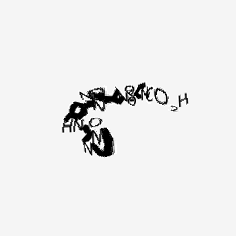 Cc1ccc(-c2noc(C3CN(S(=O)(=O)C4CCN(C(=O)O)C4)C3)n2)cc1NC(=O)c1cnc2ccccn12